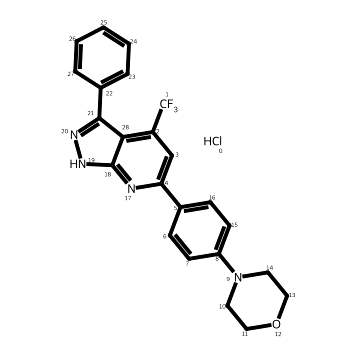 Cl.FC(F)(F)c1cc(-c2ccc(N3CCOCC3)cc2)nc2[nH]nc(-c3ccccc3)c12